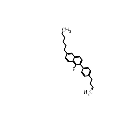 C=CCCc1ccc(-c2ccc3cc(CCCCCC)ccc3c2F)cc1